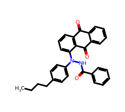 CCCCc1ccc(N(NC(=O)c2ccccc2)c2cccc3c2C(=O)c2ccccc2C3=O)cc1